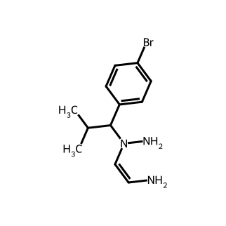 CC(C)C(c1ccc(Br)cc1)N(N)/C=C\N